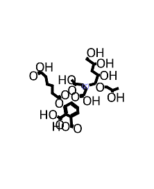 CC(O)COC(C)C(O)CC(O)CO.O=C(O)/C=C\C(=O)O.O=C(O)CCCCC(=O)Oc1cccc(C(=O)O)c1C(=O)O